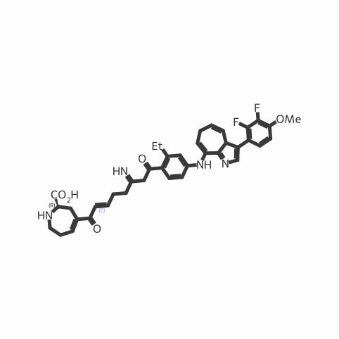 CCc1cc(NC2=CCC=CC3C(c4ccc(OC)c(F)c4F)=CN=C23)ccc1C(=O)CC(=N)CC/C=C/C(=O)C1=CCCN[C@@H](C(=O)O)C1